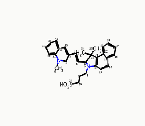 CN1CC(C=CC2N(CCCS(=O)(=O)O)c3ccc4ccccc4c3C2(C)C)=Cc2ccccc21